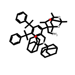 CC12CC3(C)OC(C)(CC(C)(O1)C3(CP)c1cc(C(C)(C)c3ccccc3)c(C(C)(C)c3ccccc3)cc1CP(C13CC4CC(CC(C4)C1)C3)C13CC4CC(CC(C4)C1)C3)O2